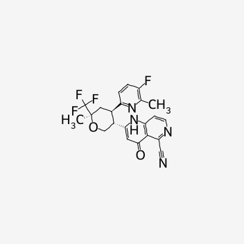 Cc1nc([C@@H]2C[C@](C)(C(F)(F)F)OC[C@H]2c2cc(=O)c3c(C#N)nccc3[nH]2)ccc1F